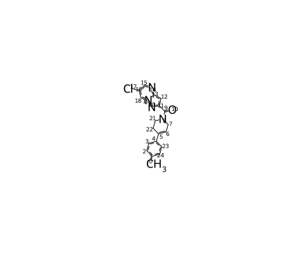 Cc1ccc(C2=CCN(C(=O)c3cc4ncc(Cl)cn4n3)CC2)cc1